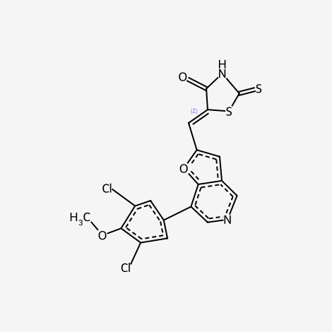 COc1c(Cl)cc(-c2cncc3cc(/C=C4\SC(=S)NC4=O)oc23)cc1Cl